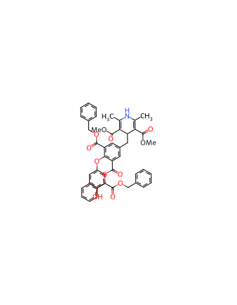 COC(=O)C1=C(C)NC(C)=C(C(=O)OC)C1Cc1cc(C(=O)OCc2ccccc2)c(Oc2ccc(O)c(C(=O)OCc3ccccc3)c2)c(C(=O)OCc2ccccc2)c1